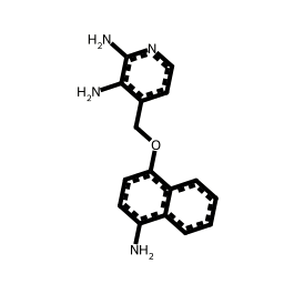 Nc1nccc(COc2ccc(N)c3ccccc23)c1N